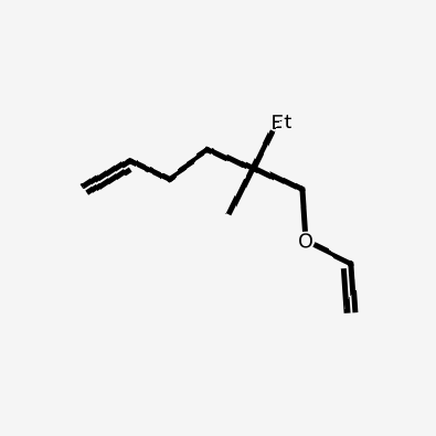 C=CCCC(C)(CC)COC=C